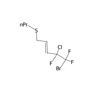 [CH2]CCSCC=CC(F)(Cl)C(F)(F)Br